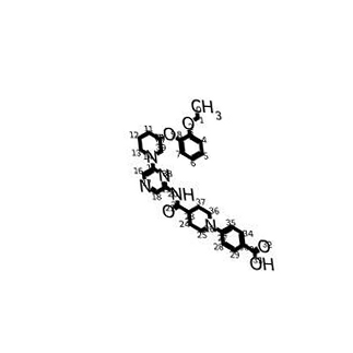 CCOc1ccccc1O[C@@H]1CCCN(c2cncc(NC(=O)C3CCN(c4ccc(C(=O)O)cc4)CC3)n2)C1